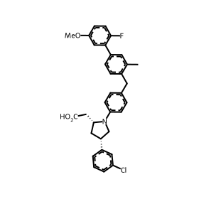 COc1ccc(F)c(-c2ccc(Cc3ccc(N4C[C@H](c5cccc(Cl)c5)C[C@@H]4CC(=O)O)cc3)c(C)c2)c1